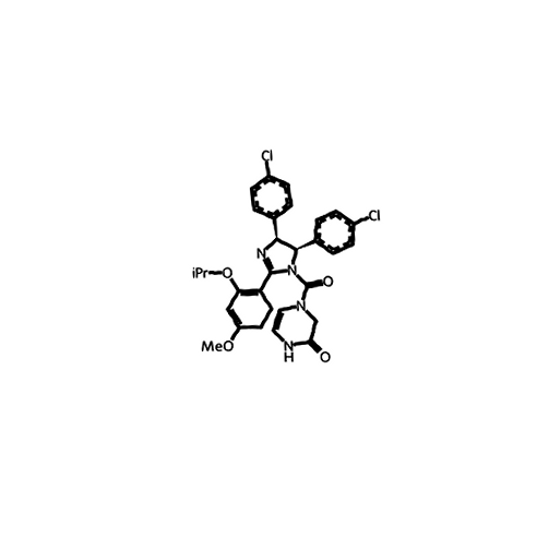 COC1=CC(OC(C)C)=C(C2=N[C@@H](c3ccc(Cl)cc3)[C@@H](c3ccc(Cl)cc3)N2C(=O)N2C=CNC(=O)C2)CC1